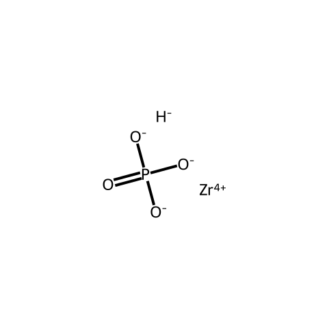 O=P([O-])([O-])[O-].[H-].[Zr+4]